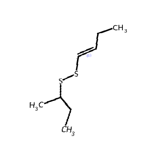 CC/C=C/SSC(C)CC